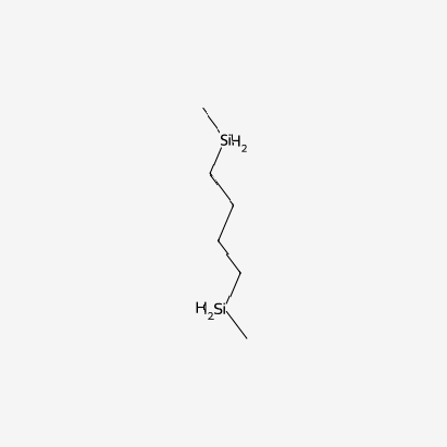 C[SiH2]CCCC[SiH2]C